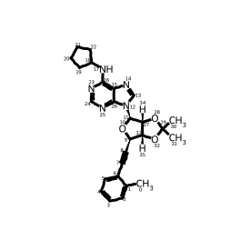 Cc1ccccc1C#C[C@H]1O[C@@H](n2cnc3c(NC4CCCC4)ncnc32)[C@@H]2OC(C)(C)O[C@@H]21